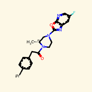 CC(C)c1ccc(CC(=O)N2CCN(c3nc4cc(F)cnc4o3)C[C@H]2C)cc1